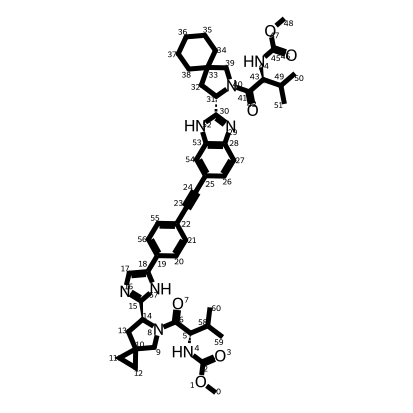 COC(=O)N[C@H](C(=O)N1CC2(CC2)C[C@H]1c1ncc(-c2ccc(C#Cc3ccc4nc([C@@H]5CC6(CCCCC6)CN5C(=O)[C@@H](NC(=O)OC)C(C)C)[nH]c4c3)cc2)[nH]1)C(C)C